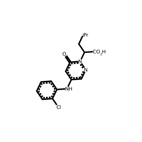 CC(C)CC(C(=O)O)n1ncc(Nc2ccccc2Cl)cc1=O